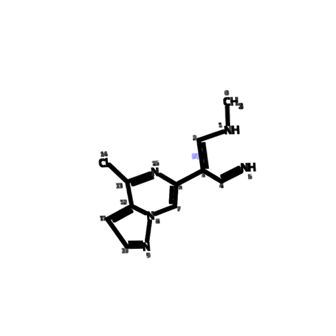 CN/C=C(\C=N)c1cn2nccc2c(Cl)n1